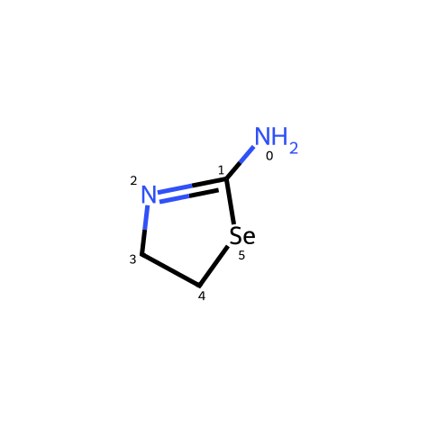 NC1=NCC[Se]1